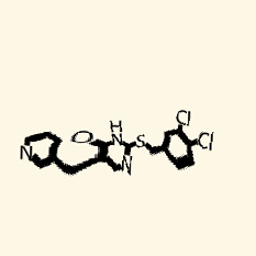 O=c1[nH]c(SCc2ccc(Cl)c(Cl)c2)ncc1Cc1cccnc1